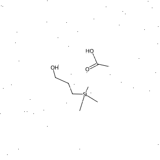 CC(=O)O.C[Si](C)(C)CCCO